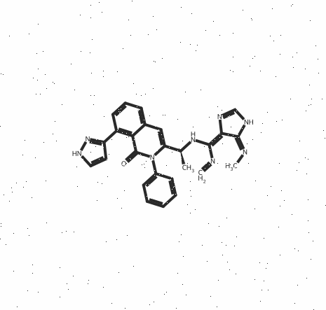 C=N/C(N[C@@H](C)c1cc2cccc(-c3cc[nH]n3)c2c(=O)n1-c1ccccc1)=C1/N=CN/C1=N/C